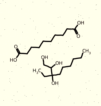 CCCCCCC(O)(CC)C(O)CO.O=C(O)CCCCCCCCC(=O)O